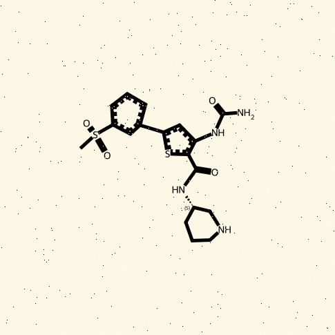 CS(=O)(=O)c1cccc(-c2cc(NC(N)=O)c(C(=O)N[C@H]3CCCNC3)s2)c1